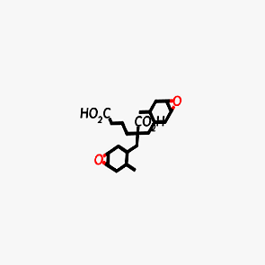 CC1CC2OC2CC1CC(CCCC(=O)O)(CC1CC2OC2CC1C)C(=O)O